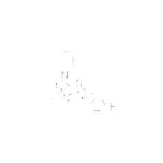 CC(C)(C)c1nc(N2CCC(F)(F)C2)c2ncn(Cc3ccc(F)cc3Cl)c2n1